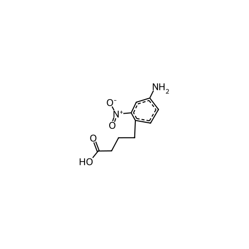 Nc1ccc(CCCC(=O)O)c([N+](=O)[O-])c1